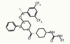 CCNC(=O)N[C@H]1CC[C@H](C(=O)N2CC[C@H](O[C@H](C)c3cc(C(F)(F)F)cc(C(F)(F)F)c3)[C@H](c3ccccc3)C2)CC1